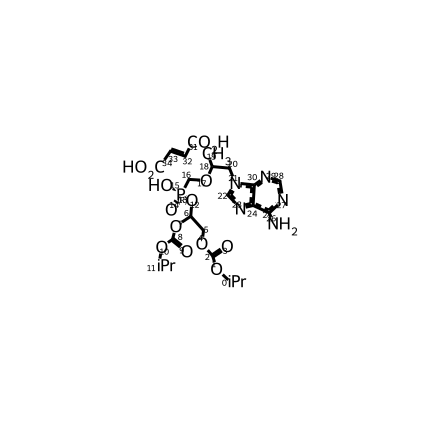 CC(C)OC(=O)OCC(OC(=O)OC(C)C)O[P@](=O)(O)COC(C)Cn1cnc2c(N)ncnc21.O=C(O)C=CC(=O)O